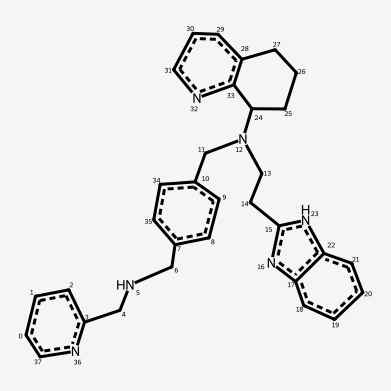 c1ccc(CNCc2ccc(CN(CCc3nc4ccccc4[nH]3)C3CCCc4cccnc43)cc2)nc1